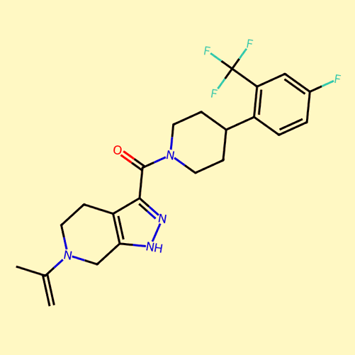 C=C(C)N1CCc2c(C(=O)N3CCC(c4ccc(F)cc4C(F)(F)F)CC3)n[nH]c2C1